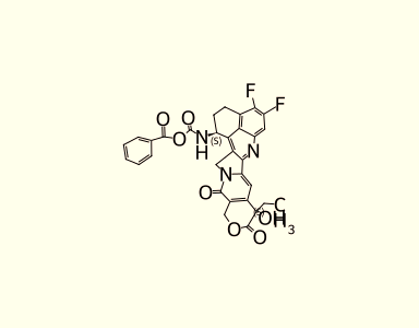 CC[C@@]1(O)C(=O)OCc2c1cc1n(c2=O)Cc2c-1nc1cc(F)c(F)c3c1c2[C@@H](NC(=O)OC(=O)c1ccccc1)CC3